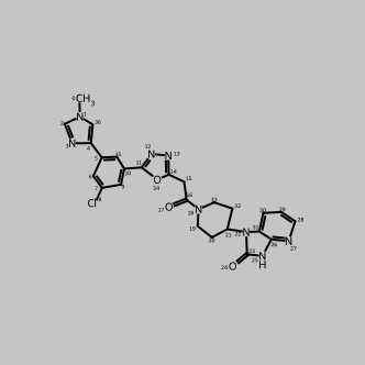 Cn1cnc(-c2cc(Cl)cc(-c3nnc(CC(=O)N4CCC(n5c(=O)[nH]c6ncccc65)CC4)o3)c2)c1